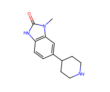 Cn1c(=O)[nH]c2ccc(C3CCNCC3)cc21